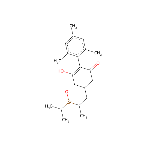 Cc1cc(C)c(C2=C(O)CC(CC(C)[S+]([O-])C(C)C)CC2=O)c(C)c1